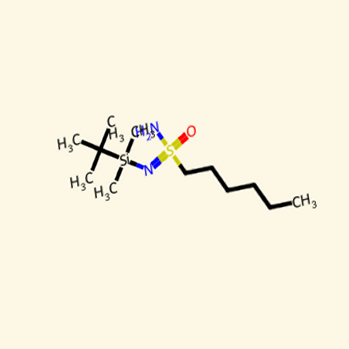 CCCCCCS(N)(=O)=N[Si](C)(C)C(C)(C)C